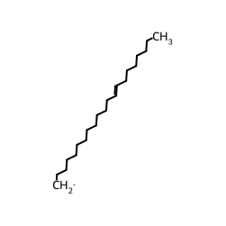 [CH2]CCCCCCCCCCCC=CCCCCCCC